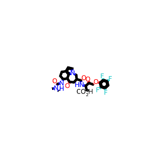 CN(C)C(=O)NC1CCc2ccn3c2C1C(=O)CC(C(=O)NC(CC(=O)O)C(=O)COc1c(F)c(F)cc(F)c1F)C3